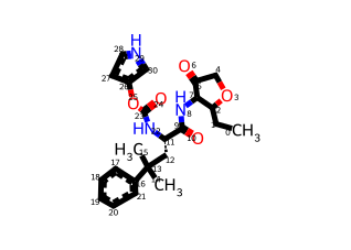 CCC1OCC(=O)C1NC(=O)[C@H](CC(C)(C)c1ccccc1)NC(=O)Oc1cc[nH]c1